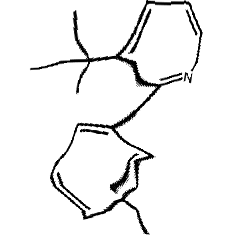 Cc1cccc(-c2ncccc2C(C)(C)C)c1